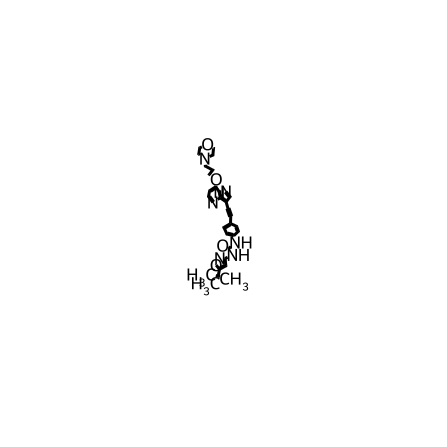 CC(C)(C)c1cc(NC(=O)Nc2ccc(C#Cc3cnn4c(OCCCN5CCOCC5)ccnc34)cc2)no1